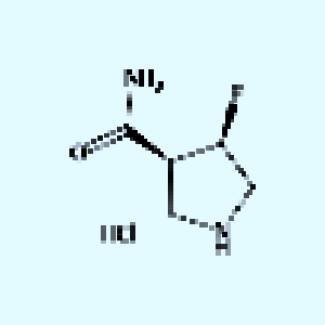 Cl.NC(=O)[C@@H]1CNC[C@@H]1F